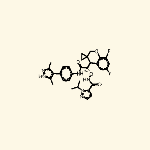 Cc1n[nH]c(C)c1-c1ccc(NC(=O)[C@@H](ONC(=O)c2ccnn2C(C)C)C2c3cc(F)cc(F)c3OCC23CC3)cc1